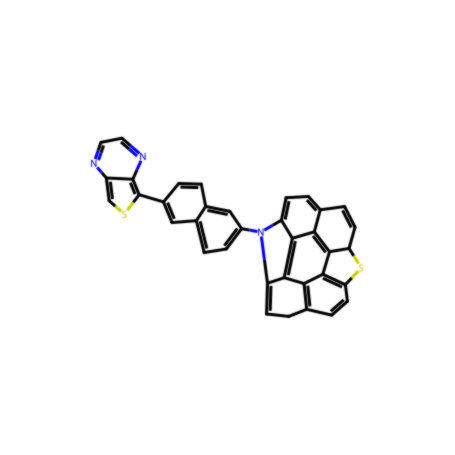 C1=CC2Sc3ccc4c5c3c2c2c1ccc1c2c5c(n1-c1ccc2cc(-c3scc5nccnc35)ccc2c1)=CC4